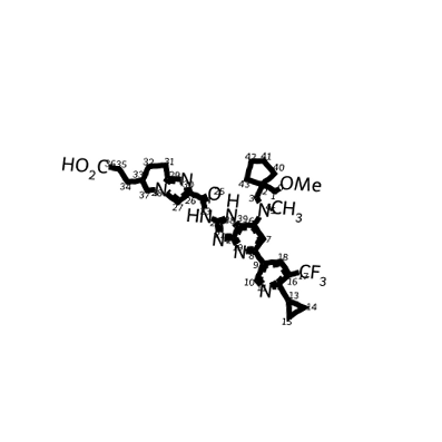 COCC1(CN(C)c2cc(-c3cnc(C4CC4)c(C(F)(F)F)c3)nc3nc(NC(=O)c4cn5c(n4)CCC(CCC(=O)O)C5)[nH]c23)CCCC1